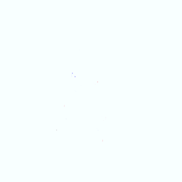 CCOC(=O)C(C)(C/C=C1\Oc2ccccc2N1CC)C(=O)C(C)(C)C